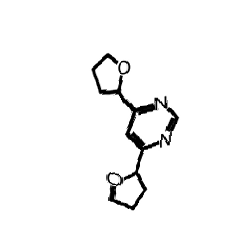 c1nc(C2CCCO2)cc(C2CCCO2)n1